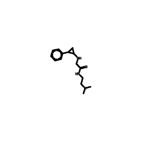 CN(C)CCNC(=O)CNC1CC1c1ccccc1